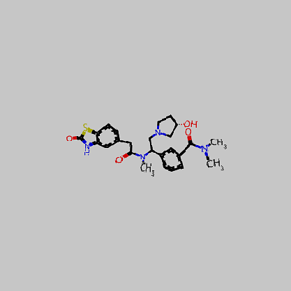 CN(C)C(=O)c1cccc(C(CN2CC[C@H](O)C2)N(C)C(=O)Cc2ccc3sc(=O)[nH]c3c2)c1